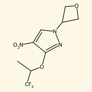 CC(Oc1nn(C2COC2)cc1[N+](=O)[O-])C(F)(F)F